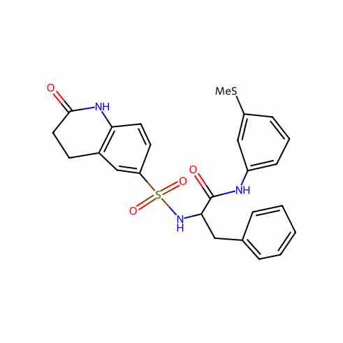 CSc1cccc(NC(=O)C(Cc2ccccc2)NS(=O)(=O)c2ccc3c(c2)CCC(=O)N3)c1